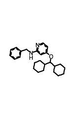 c1ccc(CNc2cc(OC(C3CCCCC3)C3CCCCC3)ccn2)cc1